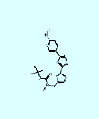 CN(CN1CCC(c2nc(-c3ccc(NI)nc3)no2)C1)C(=O)OC(C)(C)C